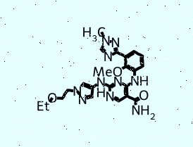 CCOCCn1cc(Nc2ncc(C(N)=O)c(Nc3cccc(-c4ncn(C)n4)c3OC)n2)cn1